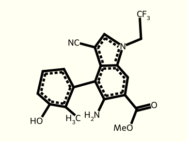 COC(=O)c1cc2c(c(C#N)cn2CC(F)(F)F)c(-c2cccc(O)c2C)c1N